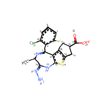 CC1N=C(c2c(F)cccc2Cl)c2c(sc3c2CC(C(=O)O)C3)NC1=NN